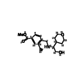 COC(=O)c1ccc(CNC(CO)C2CCOCC2)c(Br)c1